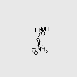 N[C@@H](CC(=O)N1CCC(CCCC(=O)NO)CC1)c1cccc2ccccc12